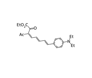 CCOC(=O)C(=O)C(=CC=CC=Cc1ccc(N(CC)CC)cc1)C(C)=O